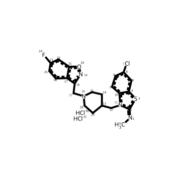 CN=c1sc2cc(Cl)ccc2n1CC1CCN(Cc2noc3cc(F)ccc23)CC1.Cl.Cl